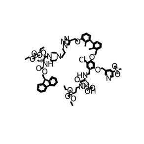 CCOP(=O)(CCNC(=O)[C@H](CS(=O)(=O)O)NCc1cc(Cl)c(OCc2cccc(-c3cccc(OCc4cn(CCCN5CCN(C(=O)[C@H](CP(=O)(OCC)OCC)NC(=O)OCC6c7ccccc7-c7ccccc76)CC5)nn4)c3C)c2C)cc1OCc1cncc(S(C)(=O)=O)c1)OCC